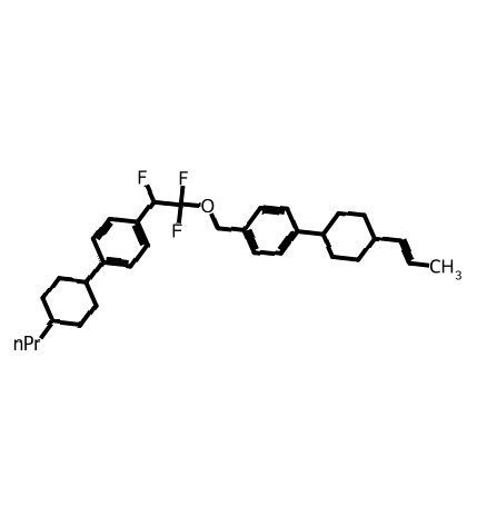 CC=CC1CCC(c2ccc(COC(F)(F)C(F)c3ccc(C4CCC(CCC)CC4)cc3)cc2)CC1